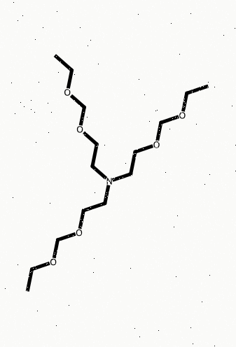 CCOCOCCN(CCOCOCC)CCOCOCC